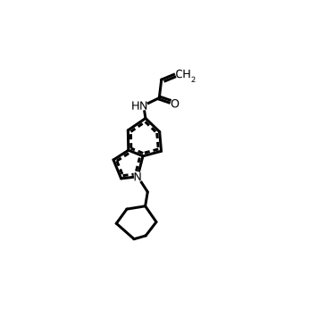 C=CC(=O)Nc1ccc2c(ccn2CC2CCCCC2)c1